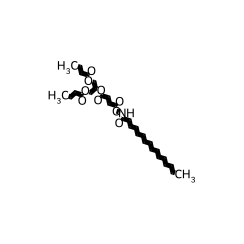 CCCCCCCCCCCCCCCC(=O)NOC(=O)CCC(=O)OC(COC(=O)CCC)COC(=O)CCC